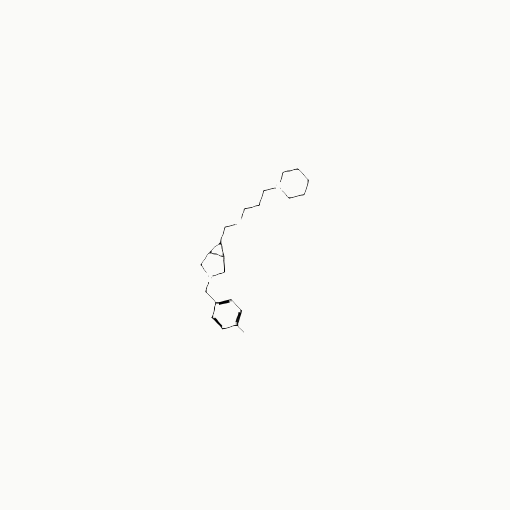 Clc1ccc(CN2CC3C(COCCCN4CCCCC4)C3C2)cc1